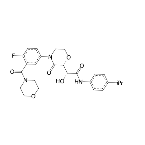 CC(C)c1ccc(NC(=O)[C@H](O)[C@H]2OCCN(c3ccc(F)c(C(=O)N4CCOCC4)c3)C2=O)cc1